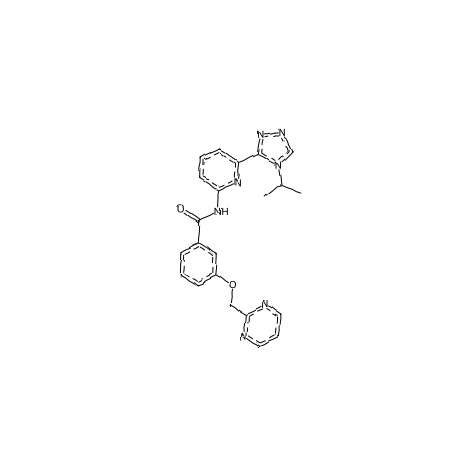 CC(C)n1cnnc1-c1cccc(NC(=O)c2cccc(OCc3ncccn3)c2)n1